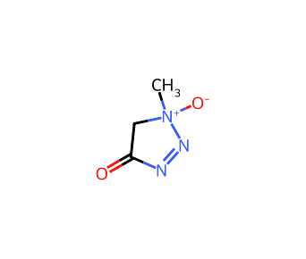 C[N+]1([O-])CC(=O)N=N1